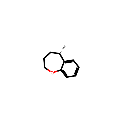 C[C@H]1CCCOc2ccccc21